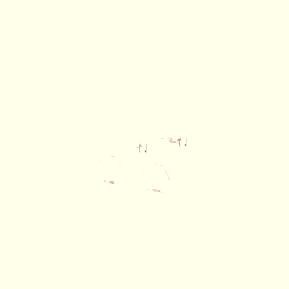 N#CCN(Cc1[c]cccc1)c1ccccc1